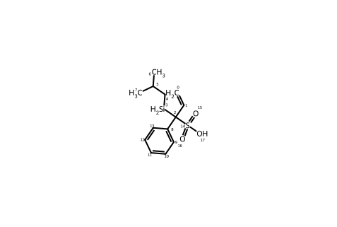 C=CC([SiH2]CC(C)C)(c1ccccc1)S(=O)(=O)O